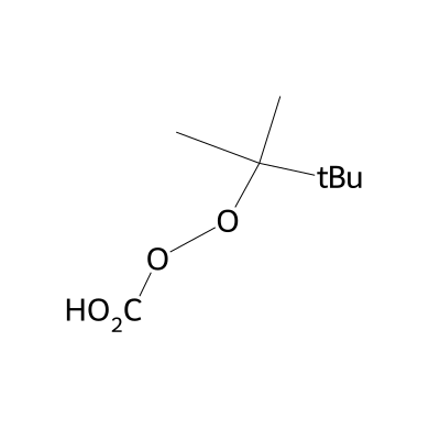 CC(C)(C)C(C)(C)OOC(=O)O